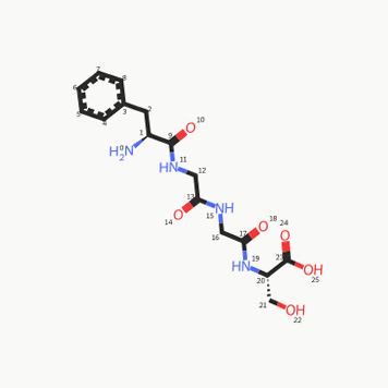 N[C@@H](Cc1ccccc1)C(=O)NCC(=O)NCC(=O)N[C@@H](CO)C(=O)O